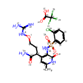 Cc1cc(C(CCONC(=N)N)C(N)=O)c(NS(=O)(=O)c2ccccc2Cl)c(=O)[nH]1.O=C(O)C(F)(F)F